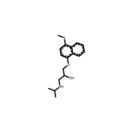 CSc1ccc(OCC(O)CNC(C)C)c2ccccc12